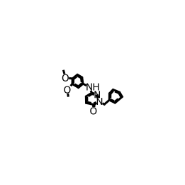 COc1ccc(Nc2ccc(=O)n(Cc3ccccc3)n2)cc1OC